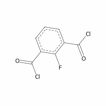 O=C(Cl)c1cccc(C(=O)Cl)c1F